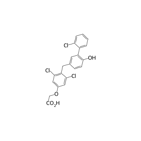 O=C(O)COc1cc(Cl)c(Cc2ccc(O)c(-c3ccccc3Cl)c2)c(Cl)c1